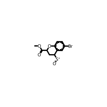 COC(=O)C1CC([S+]=O)c2cc(Br)ccc2O1